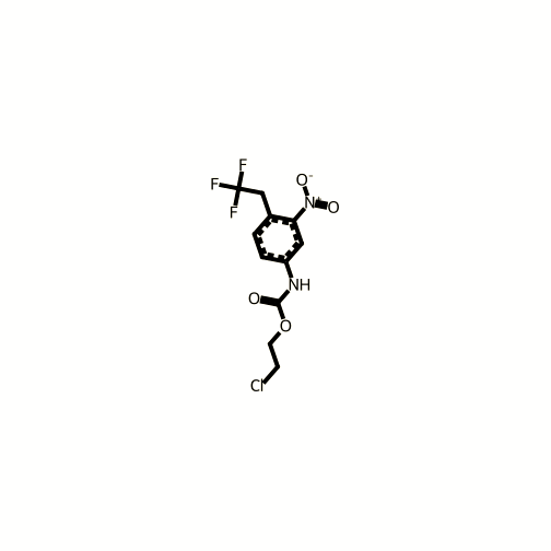 O=C(Nc1ccc(CC(F)(F)F)c([N+](=O)[O-])c1)OCCCl